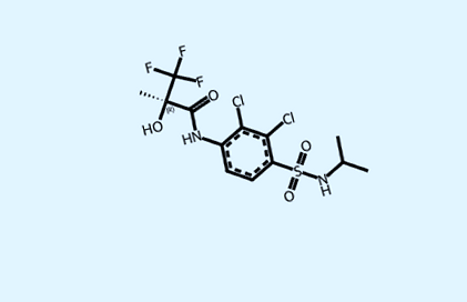 CC(C)NS(=O)(=O)c1ccc(NC(=O)[C@@](C)(O)C(F)(F)F)c(Cl)c1Cl